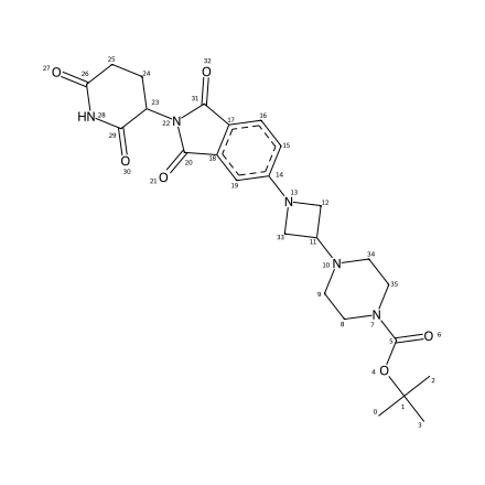 CC(C)(C)OC(=O)N1CCN(C2CN(c3ccc4c(c3)C(=O)N(C3CCC(=O)NC3=O)C4=O)C2)CC1